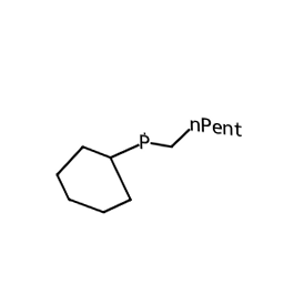 CCCCCC[P]C1CCCCC1